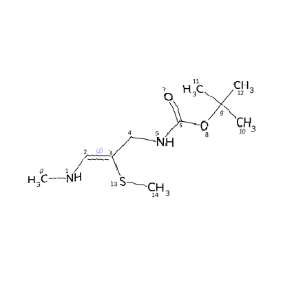 CN/C=C(/CNC(=O)OC(C)(C)C)SC